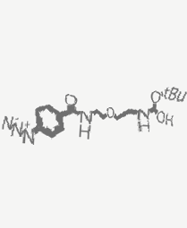 CC(C)(C)OC(O)NCCOCCNC(=O)c1ccc(N=[N+]=[N-])cc1